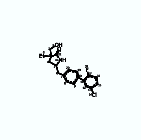 CCC1(CO)CC(Cc2ccc(-c3cc(Cl)ccc3F)cc2)NC1=O